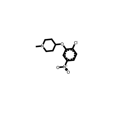 CN1CCC(Oc2cc([N+](=O)[O-])ccc2Cl)CC1